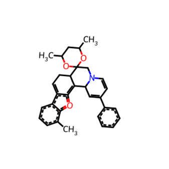 Cc1cccc2c3c(oc12)=C1C2C=C(c4ccccc4)C=CN2CC2(OC(C)CC(C)O2)C1CC=3